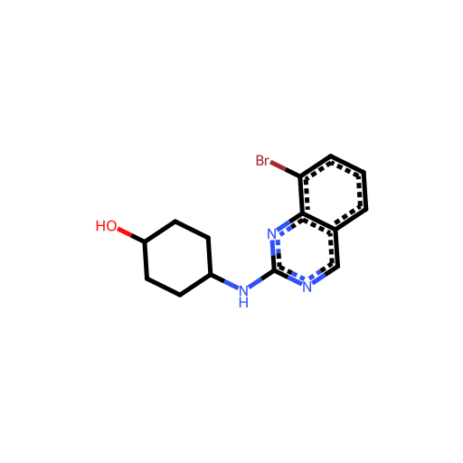 OC1CCC(Nc2ncc3cccc(Br)c3n2)CC1